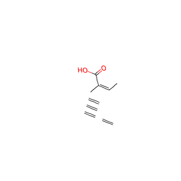 C=C.C=C.C=C.C=C.CC=C(C)C(=O)O